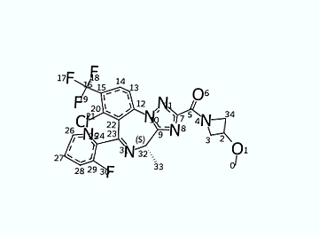 COC1CN(C(=O)c2nc3n(n2)-c2ccc(C(F)(F)F)c(Cl)c2C(c2ncccc2F)=N[C@H]3C)C1